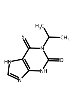 CC(C)n1c(=O)[nH]c2nc[nH]c2c1=S